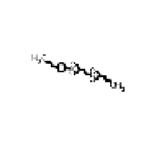 CCC=CC1COC(CCC2COC(C3CCC(CCCC)CC3)OC2)OC1